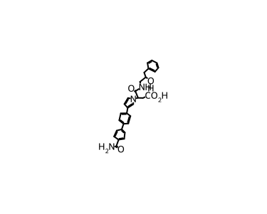 NC(=O)c1ccc(-c2ccc(-c3ccn(C(CC(=O)O)C(=O)NCC(O)Cc4ccccc4)c3)cc2)cc1